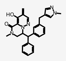 C=C1C=NN2C(=C1O)C(=O)N(C)CC2C(c1ccccc1)c1cccc(Cc2cnn(C)c2)c1